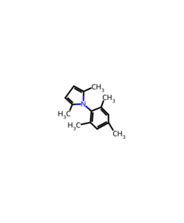 Cc1cc(C)c(-n2c(C)ccc2C)c(C)c1